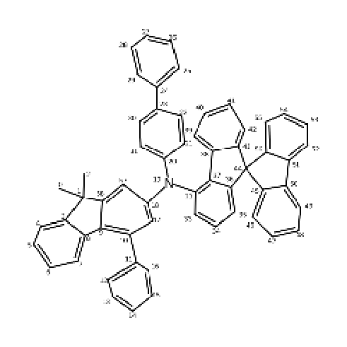 CC1(C)c2ccccc2-c2c(-c3ccccc3)cc(N(c3ccc(-c4ccccc4)cc3)c3cccc4c3-c3ccccc3C43c4ccccc4-c4ccccc43)cc21